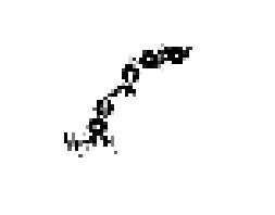 CC(C)(C)c1ccc(N2CCN(CCCC(=O)N3CCC(Nc4ccc(S(=O)(=O)c5ccc(F)cc5)cc4)CC3)CC2)cc1